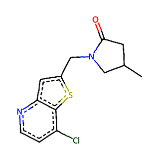 CC1CC(=O)N(Cc2cc3nccc(Cl)c3s2)C1